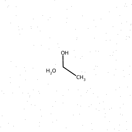 CCO.O